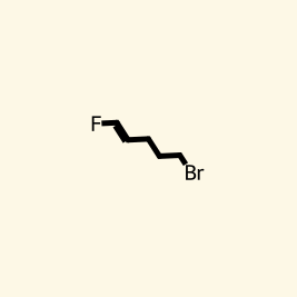 F/C=C/CCCBr